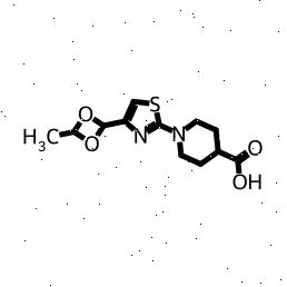 CC1OC(c2csc(N3CCC(C(=O)O)CC3)n2)O1